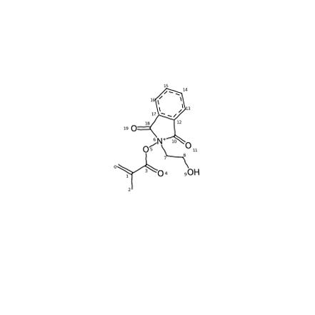 C=C(C)C(=O)O[N+]1(CCO)C(=O)c2ccccc2C1=O